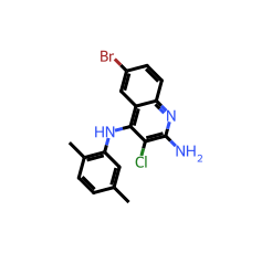 Cc1ccc(C)c(Nc2c(Cl)c(N)nc3ccc(Br)cc23)c1